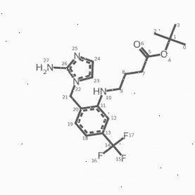 CC(C)(C)OC(=O)CCCNc1cc(C(F)(F)F)ccc1Cn1ccnc1N